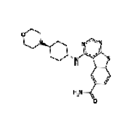 NC(=O)C1=CC2c3c(N[C@H]4CC[C@H](N5CCOCC5)CC4)ncnc3SC2C=C1